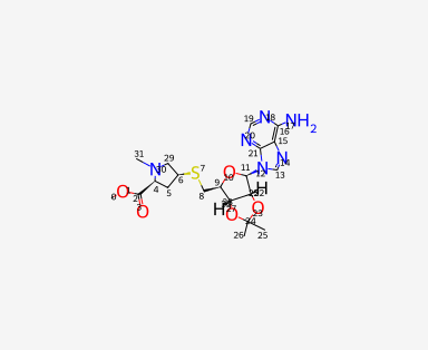 COC(=O)[C@@H]1C[C@H](SC[C@H]2O[C@@H](n3cnc4c(N)ncnc43)[C@@H]3OC(C)(C)O[C@@H]32)CN1C